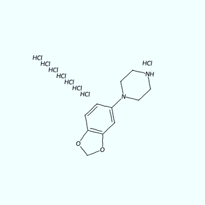 Cl.Cl.Cl.Cl.Cl.Cl.Cl.Cl.c1cc2c(cc1N1CCNCC1)OCO2